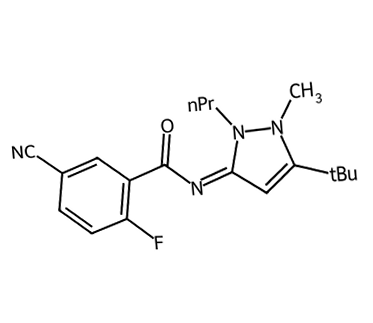 CCCn1c(=NC(=O)c2cc(C#N)ccc2F)cc(C(C)(C)C)n1C